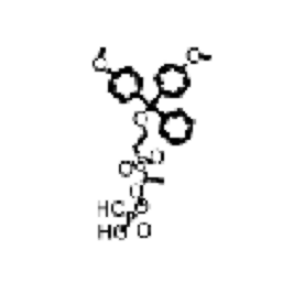 COc1ccc(C(OCCS(=O)(=O)C(C)OOP(=O)(O)O)(c2ccccc2)c2ccc(OC)cc2)cc1